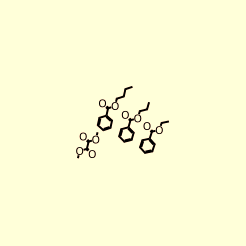 CCCCOC(=O)c1ccccc1.CCCOC(=O)c1ccccc1.CCOC(=O)c1ccccc1.COC(=O)C(=O)OC